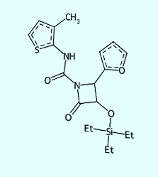 CC[Si](CC)(CC)OC1C(=O)N(C(=O)Nc2sccc2C)C1c1ccco1